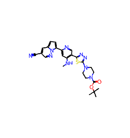 CNc1cc(-c2ccc3cc(C#N)cnn23)ncc1-c1nnc(N2CCN(C(=O)OC(C)(C)C)CC2)s1